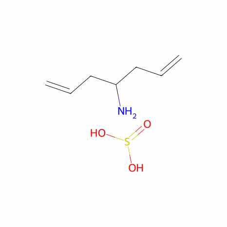 C=CCC(N)CC=C.O=S(O)O